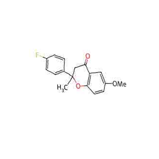 COc1ccc2c(c1)C(=O)CC(C)(c1ccc(F)cc1)O2